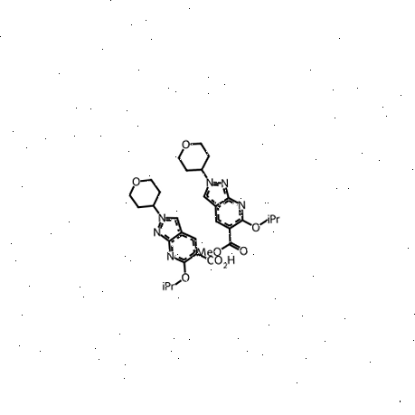 CC(C)Oc1nc2nn(C3CCOCC3)cc2cc1C(=O)O.COC(=O)c1cc2cn(C3CCOCC3)nc2nc1OC(C)C